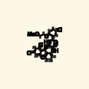 COCCOc1ccc(Cl)cc1C(=O)N[C@@H]1N=C(c2c(Cl)cc(Cl)cc2Cl)c2ccccc2NC1=O